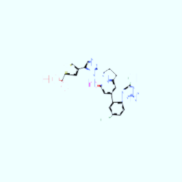 O=C(O)c1cc(-c2cnc([C@@H]3CCc4cc(-c5cc(Cl)ccc5-n5cc(Cl)nn5)cc(=O)n43)[nH]2)cs1